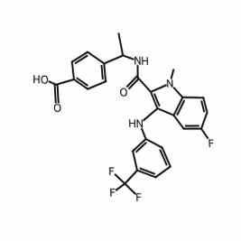 CC(NC(=O)c1c(Nc2cccc(C(F)(F)F)c2)c2cc(F)ccc2n1C)c1ccc(C(=O)O)cc1